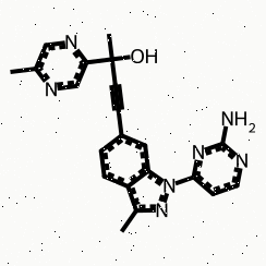 Cc1cnc(C(C)(O)C#Cc2ccc3c(C)nn(-c4ccnc(N)n4)c3c2)cn1